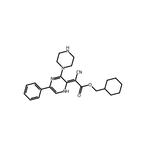 N#C/C(C(=O)OCC1CCCCC1)=C1/NC=C(c2ccccc2)N=C1N1CCNCC1